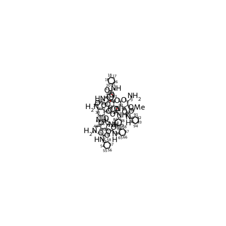 COC1C(CN)OC(OC2C(COC(=O)Nc3ccccc3)OC(OC3C(OC(=O)Nc4ccccc4)C(N)CC(N)C3OC3OC(CN)C(OC(=O)Nc4ccccc4)C(OC(=O)Nc4ccccc4)C3N)C2OC(=O)Nc2ccccc2)C(N)C1OC(=O)Nc1ccccc1